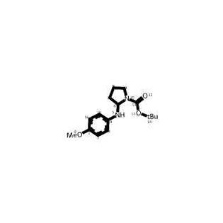 COc1ccc(NC2CCCN2C(=O)OC(C)(C)C)cc1